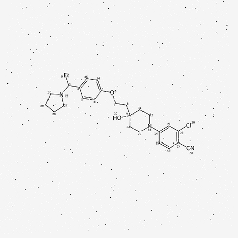 CCC(c1ccc(OCCC2(O)CCN(c3ccc(C#N)c(Cl)c3)CC2)cc1)N1CCCC1